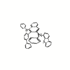 c1ccc(-c2ccc3c(c2)c2c(N(c4ccccc4)c4cccc5c4sc4ccccc45)cc4ccccc4c2n3-c2ccccc2)cc1